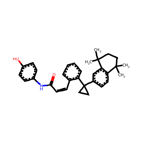 CC1(C)CCC(C)(C)c2cc(C3(c4ccccc4/C=C\C(=O)Nc4ccc(O)cc4)CC3)ccc21